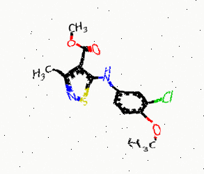 COC(=O)c1c(C)nsc1Nc1ccc(OC)c(Cl)c1